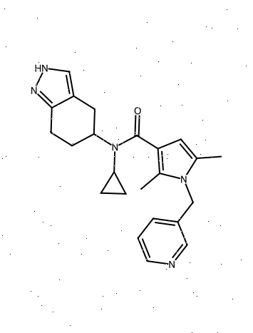 Cc1cc(C(=O)N(C2CC2)C2CCc3n[nH]cc3C2)c(C)n1Cc1cccnc1